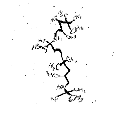 CC(C)(CCC(C)(NCC(O)C(O)C(C)(C)C)SS)C[C@H](O)CNC(C)(C)C